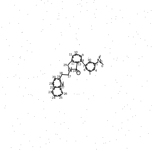 CN(C)c1cccc(-c2cccc3c2C(=O)N(CCc2ccc4ccccc4n2)C3)c1